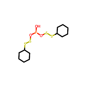 OP(OSSC1CCCCC1)OSSC1CCCCC1